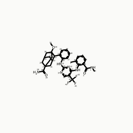 CNC(=O)c1cccc(C)c1Nc1nc(Nc2ccccc2C2C3CC4CC(C(N)=O)(C3)CC2(OC)C4)ncc1C(F)(F)F